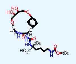 CC(C)[C@H]1COCC(O)C(O)COc2ccc(cc2)C[C@@H](NC(=O)N[C@](CCCCNC(=O)OC(C)(C)C)(C(=O)O)C(C)(C)C)C(=O)N1